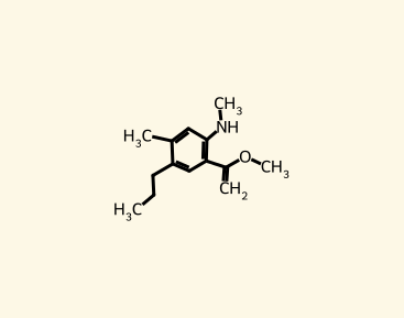 C=C(OC)c1cc(CCC)c(C)cc1NC